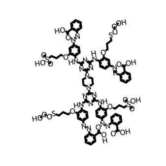 O=C(O)c1ccccc1N=Nc1ccc(Nc2nc(Nc3ccc(N=Nc4ccccc4C(=O)O)cc3OCCCS(=O)(=O)O)nc(N3CCN(c4nc(Nc5ccc(N=Nc6ccccc6C(=O)O)cc5OCCCSOOO)nc(Nc5ccc(N=Nc6ccccc6C(=O)O)cc5OCCCS(=O)(=O)O)n4)CC3)n2)c(OCCCSOOO)c1